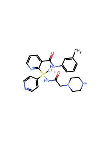 Cc1cccc(NC(=O)c2cccnc2S(C)(NC(=O)CN2CCNCC2)c2ccncc2)c1